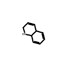 [CH]1C=CC2C=CC=CC2N1